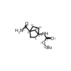 CC(C)(C)OC(=O)NC12CCC(C(N)=O)(CC1)C2